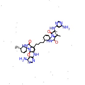 Cc1cc(Nc2cc(N)ncn2)c(=O)n2c1C(=O)NC21C=CCC(CCCCc2cc(Nc3cc(N)ncn3)c(=O)n3c2C(=O)NC32C=CCC(C(C)C)C2)C1